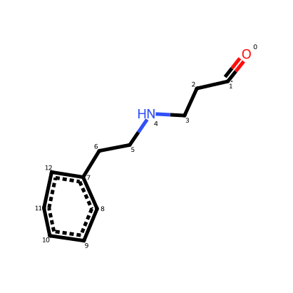 O=[C]CCNCCc1ccccc1